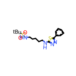 CC(C)(C)S(=O)(=O)NCCCCCNc1nnc(-c2ccccc2)s1